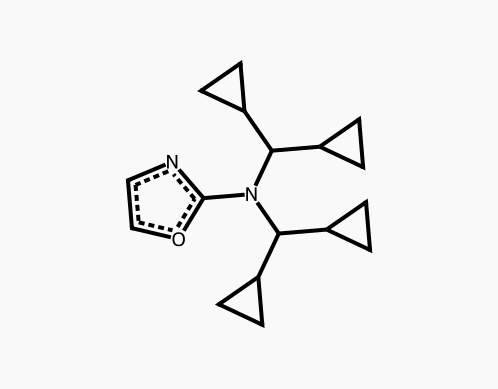 c1coc(N(C(C2CC2)C2CC2)C(C2CC2)C2CC2)n1